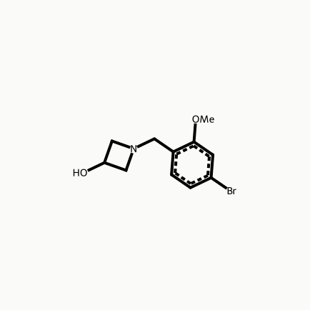 COc1cc(Br)ccc1CN1CC(O)C1